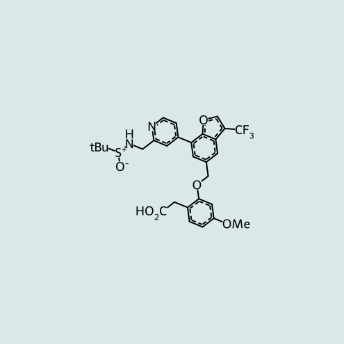 COc1ccc(CC(=O)O)c(OCc2cc(-c3ccnc(CN[S+]([O-])C(C)(C)C)c3)c3occ(C(F)(F)F)c3c2)c1